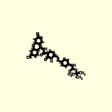 CC(C)(C)OC(=O)Nc1ccc(CSc2ncc(C(=O)NC3c4ccc(Cl)cc4Oc4cc(Cl)ccc43)c(=O)[nH]2)cc1